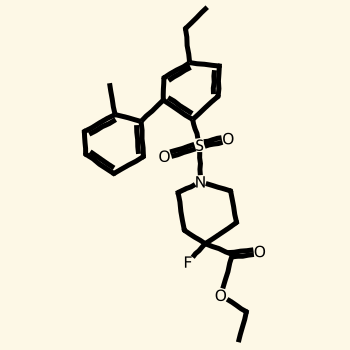 CCOC(=O)C1(F)CCN(S(=O)(=O)c2ccc(CC)cc2-c2ccccc2C)CC1